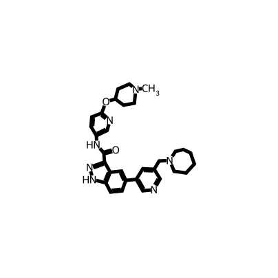 CN1CCC(Oc2ccc(NC(=O)c3n[nH]c4ccc(-c5cncc(CN6CCCCCC6)c5)cc34)cn2)CC1